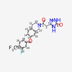 O=C(Cc1n[nH]c(=O)[nH]1)N1CCc2ccc(Oc3ccc(C(F)(F)F)c(F)c3)cc2C1